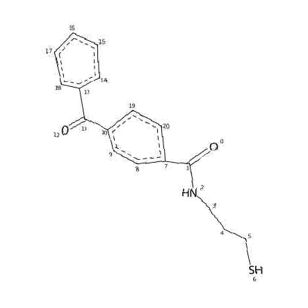 O=C(NCCCS)c1ccc(C(=O)c2ccccc2)cc1